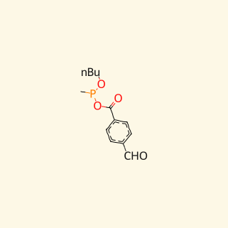 CCCCOP(C)OC(=O)c1ccc(C=O)cc1